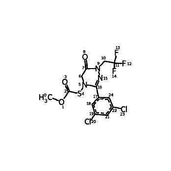 COC(=O)SN1CC(=O)N(CC(F)(F)F)N=C1c1cc(Cl)cc(Cl)c1